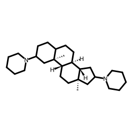 C[C@]12CC[C@H]3[C@@H](CCC4CCC(N5CCCCC5)C[C@@]43C)[C@@H]1CC(N1CCCCC1)C2